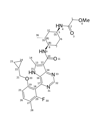 COCC(=O)N[C@H]1CC[C@@H](NC(=O)c2c(C)[nH]c3c(-c4c(OCC5CC5)ccc(C)c4F)ncnc23)[C@H](C)C1